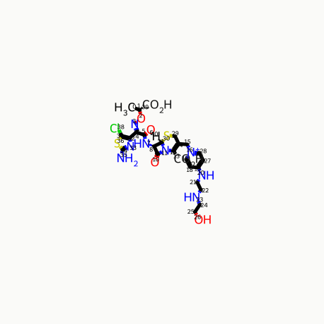 C[C@H](O/N=C(\C(=O)N[C@@H]1C(=O)N2C(C(=O)O)=C(C[n+]3ccc(NCCNCCO)cc3)CS[C@H]12)c1nc(N)sc1Cl)C(=O)O